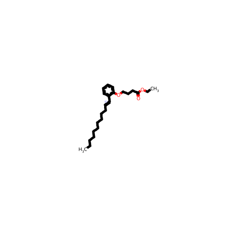 CCCCCCCCCC/C=C/c1ccccc1OCCCC(=O)OCC